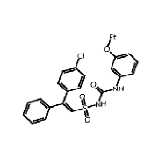 CCOc1cccc(NC(=O)NS(=O)(=O)C=C(c2ccccc2)c2ccc(Cl)cc2)c1